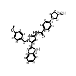 COc1ccc(Cn2nc(NC(=O)c3ccc(N4CC[C@@H](O)C4)cc3)cc2-c2nc3ccccc3[nH]2)cc1